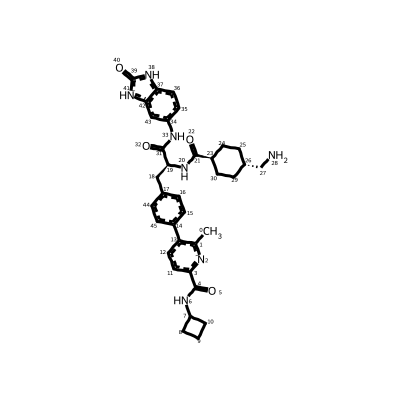 Cc1nc(C(=O)NC2CCC2)ccc1-c1ccc(C[C@H](NC(=O)[C@H]2CC[C@H](CN)CC2)C(=O)Nc2ccc3[nH]c(=O)[nH]c3c2)cc1